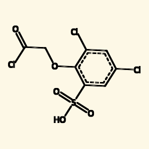 O=C(Cl)COc1c(Cl)cc(Cl)cc1S(=O)(=O)O